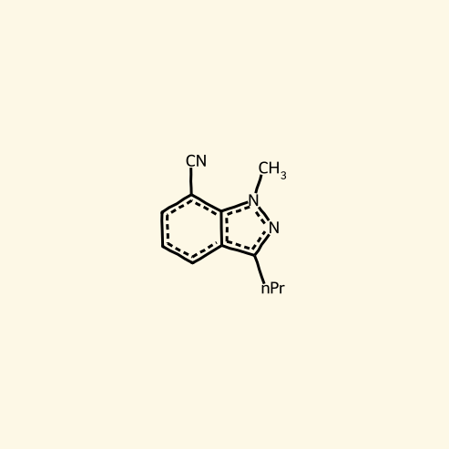 CCCc1nn(C)c2c(C#N)cccc12